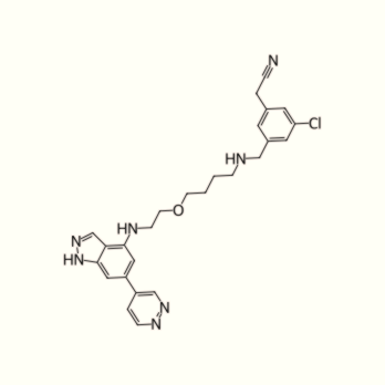 N#CCc1cc(Cl)cc(CNCCCCOCCNc2cc(-c3ccnnc3)cc3[nH]ncc23)c1